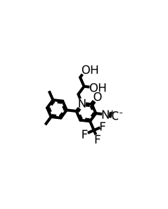 [C-]#[N+]c1c(C(F)(F)F)cc(-c2cc(C)cc(C)c2)n(CC(O)CO)c1=O